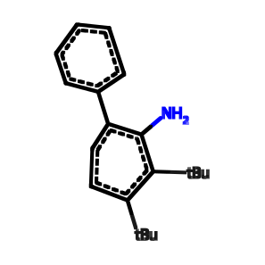 CC(C)(C)c1ccc(-c2ccccc2)c(N)c1C(C)(C)C